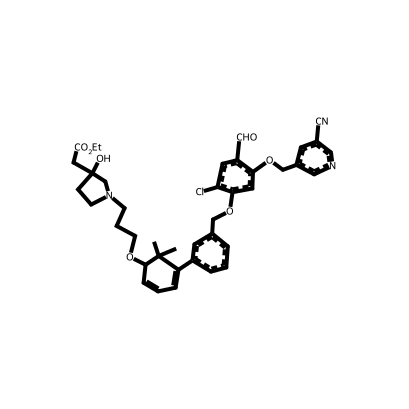 CCOC(=O)CC1(O)CCN(CCCOC2C=CC=C(c3cccc(COc4cc(OCc5cncc(C#N)c5)c(C=O)cc4Cl)c3)C2(C)C)C1